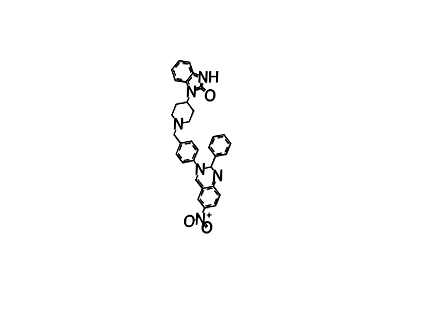 O=c1[nH]c2ccccc2n1C1CCN(Cc2ccc(N3C=c4cc([N+](=O)[O-])ccc4=NC3c3ccccc3)cc2)CC1